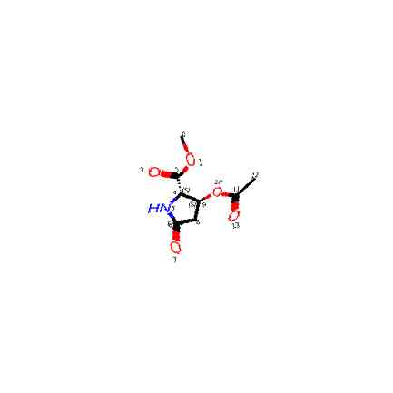 COC(=O)[C@H]1NC(=O)C[C@@H]1OC(C)=O